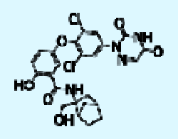 O=C(NC1(CO)CC2CCC1C2)c1cc(Oc2c(Cl)cc(-n3ncc(=O)[nH]c3=O)cc2Cl)ccc1O